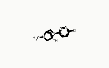 CN1C[C@H]2CC1CN2c1ccc(Cl)nn1